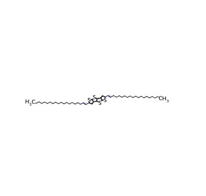 CCCCCCCCCCCCCCCCCC/C=C/c1cc2c(s1)sc1c3cc(/C=C/CCCCCCCCCCCCCCCCCC)sc3sc21